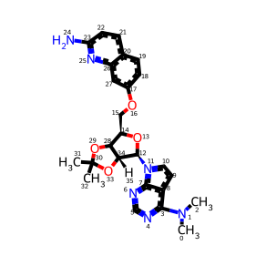 CN(C)c1ncnc2c1ccn2[C@@H]1O[C@H](COc2ccc3ccc(N)nc3c2)C2OC(C)(C)O[C@H]21